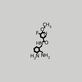 CCOc1ncc(C(=O)NCc2cccc(N)c2CN)cc1F